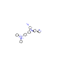 N#Cc1ccc2c(c1)c1cc(-c3ccc(-c4nc(-c5ccccc5)nc(-c5ccccc5)n4)cc3)ccc1n2-c1ccc(-c2cccnc2)cc1